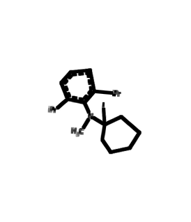 CC(C)c1cccc(C(C)C)c1N(C)C1(I)CCCCC1